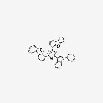 c1ccc(-n2cc(-c3nc(-c4cccc5c4oc4ccccc45)nc(-c4cccc5c4oc4ccccc45)n3)c3ccccc32)cc1